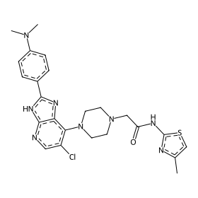 Cc1csc(NC(=O)CN2CCN(c3c(Cl)cnc4[nH]c(-c5ccc(N(C)C)cc5)nc34)CC2)n1